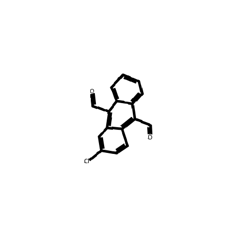 O=Cc1c2ccccc2c(C=O)c2cc(Cl)ccc12